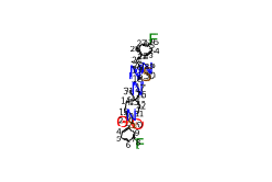 O=S(=O)(c1cccc(F)c1)N1CCC2(CC1)CN(c1nc(Cc3ccc(F)cc3)ns1)C2